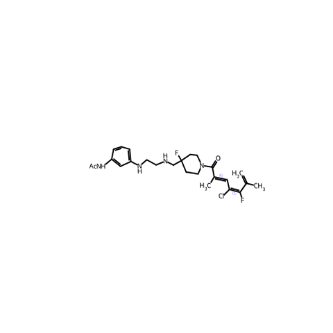 C=C(C)/C(F)=C(Cl)\C=C(/C)C(=O)N1CCC(F)(CNCCNc2cccc(NC(C)=O)c2)CC1